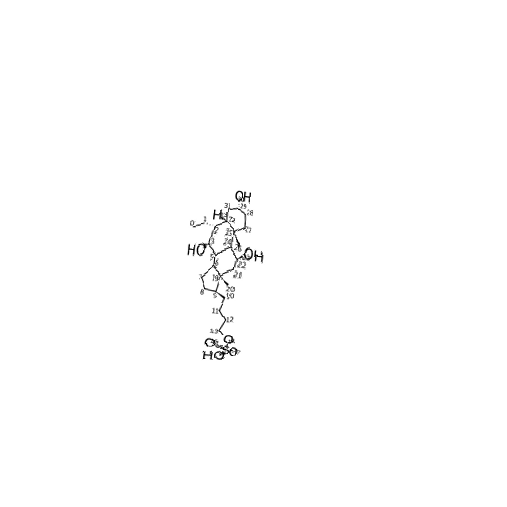 CC[C@H]1[C@@H](O)C2C3CC[C@H](CCCCOS(=O)(=O)O)[C@@]3(C)C[C@H](O)C2[C@@]2(C)CC[C@@H](O)C[C@@H]12